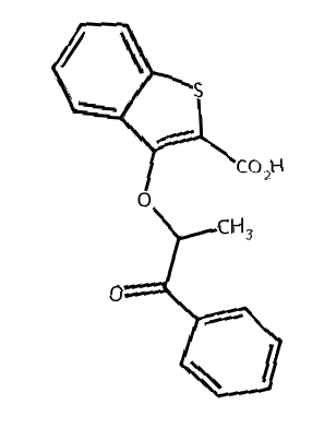 CC(Oc1c(C(=O)O)sc2ccccc12)C(=O)c1ccccc1